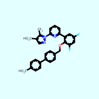 O=C(O)c1ccc(-c2ccc(COc3c(F)cc(F)cc3-c3cccc(-n4ncc(C(=O)O)c4C(F)(F)F)n3)cc2)cc1